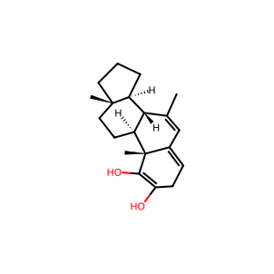 CC1=CC2=CCC(O)=C(O)[C@]2(C)[C@H]2CC[C@]3(C)CCC[C@H]3[C@H]12